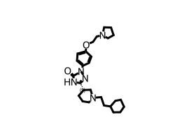 O=c1[nH]c([C@H]2CCCN(CCC3CCCCC3)C2)nn1-c1ccc(OCCN2CCCC2)cc1